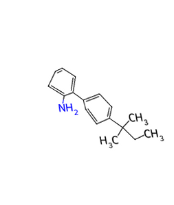 CCC(C)(C)c1ccc(-c2ccccc2N)cc1